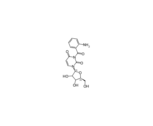 Nc1ccccc1C(=O)n1c(=O)ccn([C@H]2O[C@@H](CO)C(O)C2O)c1=O